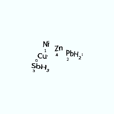 [Cu].[Ni].[PbH2].[SbH3].[Zn]